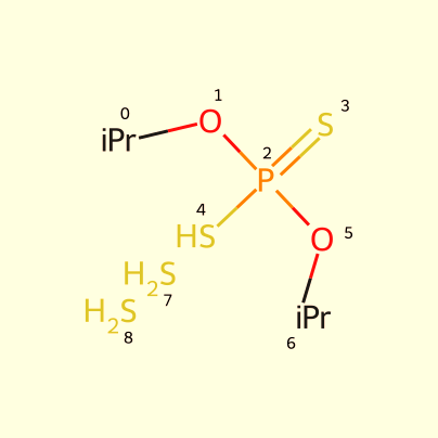 CC(C)OP(=S)(S)OC(C)C.S.S